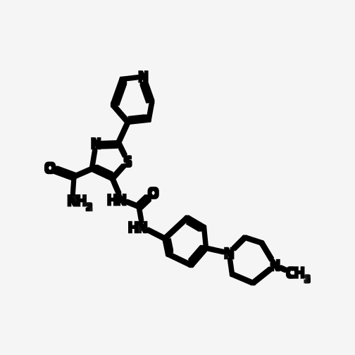 CN1CCN(c2ccc(NC(=O)Nc3sc(-c4ccncc4)nc3C(N)=O)cc2)CC1